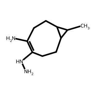 CC1C2CC/C(N)=C(/NN)CCC12